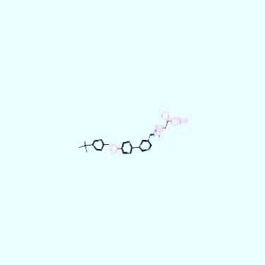 CC(C)(C)c1ccc(COc2ccc(-c3cccc(C=NOCC(=O)O)c3)cc2)cc1